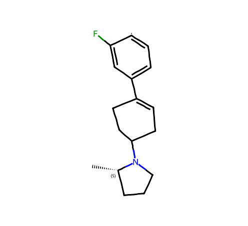 C[C@H]1CCCN1C1CC=C(c2cc[c]c(F)c2)CC1